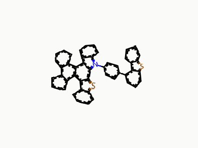 c1ccc2c(c1)sc1cccc(-c3ccc(-n4c5ccccc5c5c6c7ccccc7c7ccccc7c6c6c7ccccc7sc6c54)cc3)c12